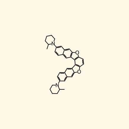 CC1CCCCN1c1ccc2cc3c(cc2c1)oc1ccc2oc4cc5cc(N6CCCCC6C)ccc5cc4c2c13